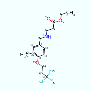 CCOC(=O)CCNCc1ccc(OCCC(F)(F)F)c(C)c1